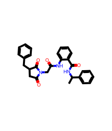 CC(NC(=O)c1ccccc1NC(=O)CN1C(=O)CC(Cc2ccccc2)C1=O)c1ccccc1